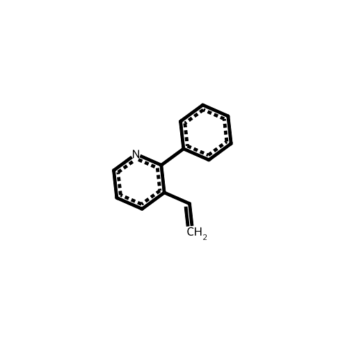 C=Cc1cccnc1-c1ccccc1